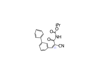 CC(C)OC(=O)NC(=O)/C(C#N)=C\c1cccc(-c2ccccc2)c1